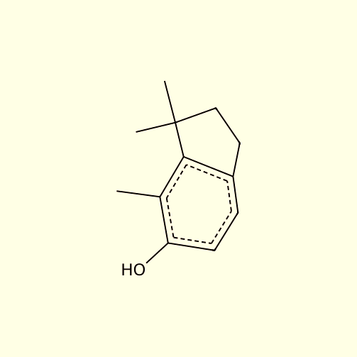 Cc1c(O)ccc2c1C(C)(C)CC2